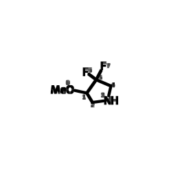 COC1CNCC1(F)F